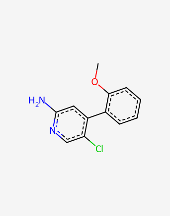 COc1ccccc1-c1cc(N)ncc1Cl